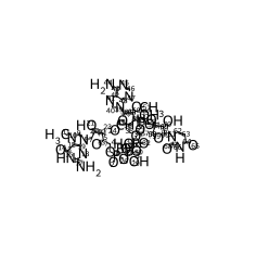 [BH3-]P(=O)(OC[C@H]1OC(n2c[n+](C)c3c(=O)[nH]c(N)nc32)[C@H](O)[C@@H]1COC)OP(=O)(O)OP(=O)(O)OCC1O[C@@H](n2cnc3c(N)ncnc32)[C@H](OC)[C@@H]1P(=O)(O)OC[C@H]1O[C@@H](n2ccc(=O)[nH]c2=O)[C@H](O)[C@@H]1O